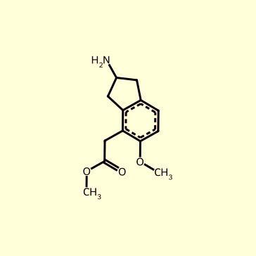 COC(=O)Cc1c(OC)ccc2c1CC(N)C2